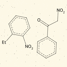 CCc1ccccc1[N+](=O)[O-].O=C(C[N+](=O)[O-])c1ccccc1